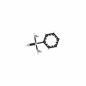 CC(C)(C)P(=O)(c1ccccc1)C(C)(C)C